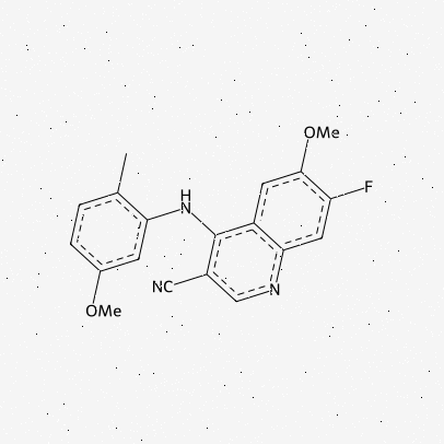 COc1ccc(C)c(Nc2c(C#N)cnc3cc(F)c(OC)cc23)c1